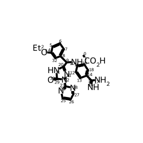 CC(=O)O.CCOc1cccc(C(Nc2ccc(C(=N)N)cc2)c2nn(-c3ncccn3)c(=O)[nH]2)c1